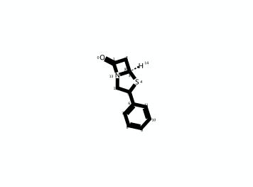 O=C1C[C@H]2SC(c3ccccc3)CN12